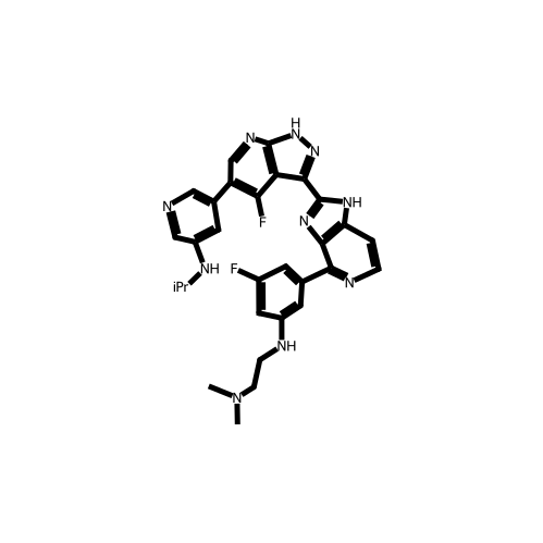 CC(C)Nc1cncc(-c2cnc3[nH]nc(-c4nc5c(-c6cc(F)cc(NCCN(C)C)c6)nccc5[nH]4)c3c2F)c1